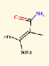 CCC/C(NC)=C(/C)C(N)=O